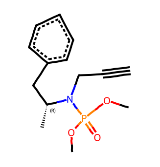 C#CCN([C@H](C)Cc1ccccc1)P(=O)(OC)OC